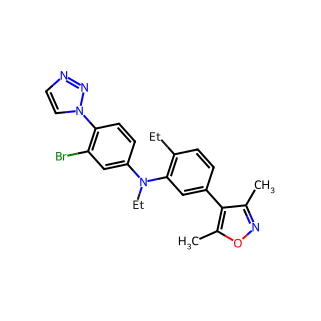 CCc1ccc(-c2c(C)noc2C)cc1N(CC)c1ccc(-n2ccnn2)c(Br)c1